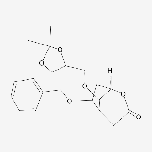 CC1(C)OCC(COC2C3CC(=O)O[C@@H]2CC3OCc2ccccc2)O1